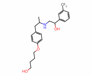 CC(Cc1ccc(OCCCCO)cc1)NCC(O)c1cccc(C(F)(F)F)c1